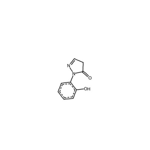 O=C1CC=NN1c1ccccc1O